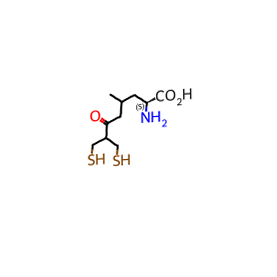 CC(CC(=O)C(CS)CS)C[C@H](N)C(=O)O